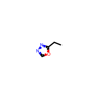 [CH2]Cc1nnco1